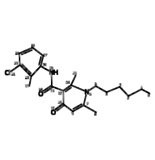 CCCCCCn1c(C)cc(=O)c(C(=O)Nc2cccc(Cl)c2C)c1C